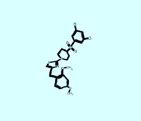 COc1ccc(Cc2csc(N3CCC(S(=O)(=O)c4cc(Cl)cc(Cl)c4)CC3)n2)c(OC)c1